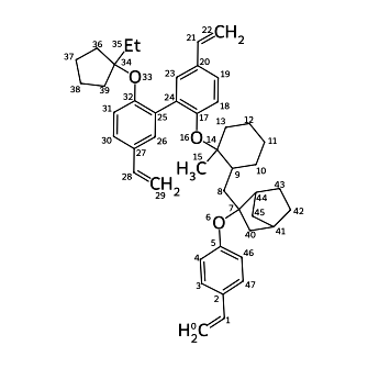 C=Cc1ccc(OC2(CC3CCCCC3(C)Oc3ccc(C=C)cc3-c3cc(C=C)ccc3OC3(CC)CCCC3)CC3CCC2C3)cc1